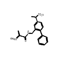 CCCCCCC(C)C(=O)NCc1cc(C(C)C(=O)O)ccc1-c1ccccc1